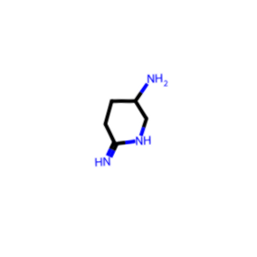 N=C1CCC(N)CN1